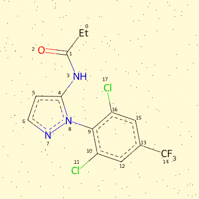 CCC(=O)Nc1ccnn1-c1c(Cl)cc(C(F)(F)F)cc1Cl